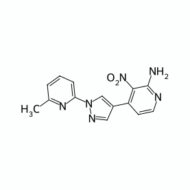 Cc1cccc(-n2cc(-c3ccnc(N)c3[N+](=O)[O-])cn2)n1